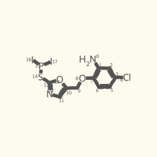 Nc1cc(Cl)ccc1OCc1cnc(SP(I)I)o1